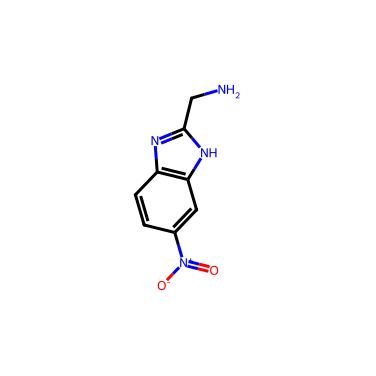 NCc1nc2ccc([N+](=O)[O-])cc2[nH]1